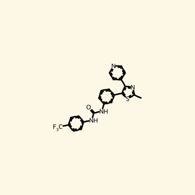 Cc1nc(-c2ccncc2)c(-c2cccc(NC(=O)Nc3ccc(C(F)(F)F)cc3)c2)s1